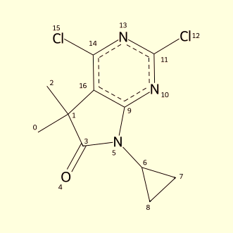 CC1(C)C(=O)N(C2CC2)c2nc(Cl)nc(Cl)c21